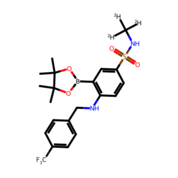 [2H]C([2H])([2H])NS(=O)(=O)c1ccc(NCc2ccc(C(F)(F)F)cc2)c(B2OC(C)(C)C(C)(C)O2)c1